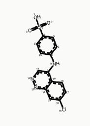 O=S(=O)(O)c1ccc(Nc2cnnc3cc(Cl)ccc23)cc1